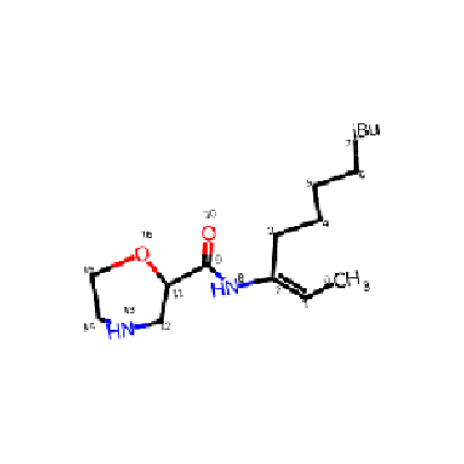 C/C=C(\CCCCC(C)CC)NC(=O)C1CNCCO1